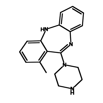 Cc1cccc2c1C(N1CCNCC1)=Nc1ccccc1N2